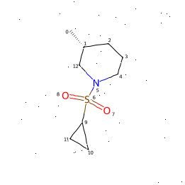 C[C@@H]1CCCN(S(=O)(=O)C2CC2)C1